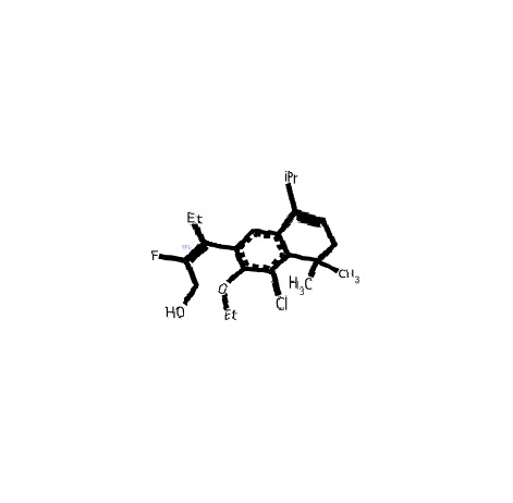 CCOc1c(/C(CC)=C(/F)CO)cc2c(c1Cl)C(C)(C)CC=C2C(C)C